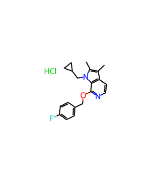 Cc1c(C)n(CC2CC2)c2c(OCc3ccc(F)cc3)nccc12.Cl